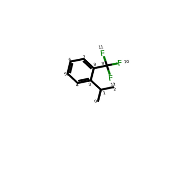 CC(C)c1c[c]ccc1C(F)(F)F